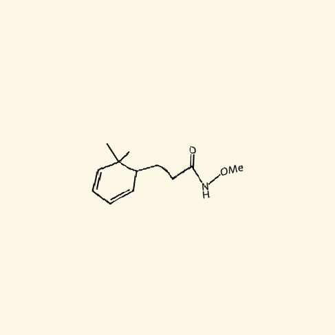 CONC(=O)CCC1C=CC=CC1(C)C